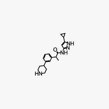 CC(C(=O)Nc1cc(C2CC2)[nH]n1)c1cccc(C2CCNCC2)c1